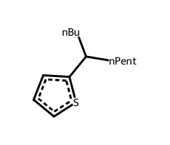 CCCCCC(CCCC)c1cccs1